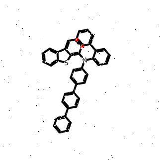 c1ccc(-c2ccc(-c3ccc(N(c4ccccc4-c4ccccc4)c4nccc5c4sc4ccccc45)cc3)cc2)cc1